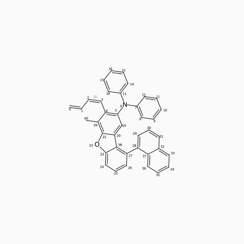 C=C/C=C\c1c(N(c2ccccc2)c2ccccc2)cc2c(oc3cccc(-c4cccc5ccccc45)c32)c1C